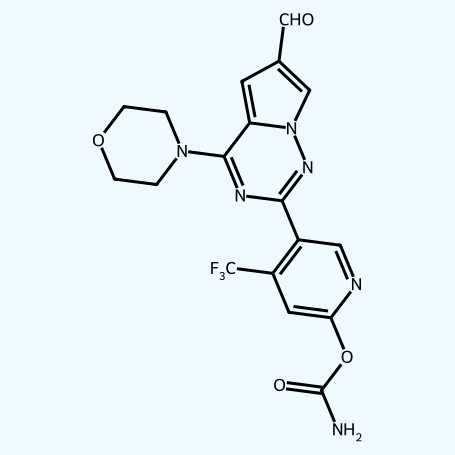 NC(=O)Oc1cc(C(F)(F)F)c(-c2nc(N3CCOCC3)c3cc(C=O)cn3n2)cn1